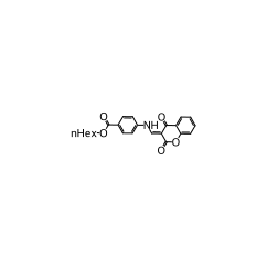 CCCCCCOC(=O)c1ccc(NC=C2C(=O)Oc3ccccc3C2=O)cc1